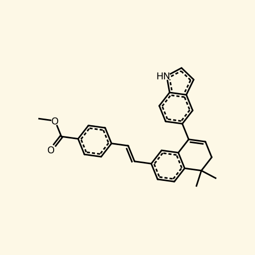 COC(=O)c1ccc(C=Cc2ccc3c(c2)C(c2ccc4[nH]ccc4c2)=CCC3(C)C)cc1